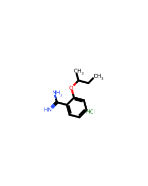 CCC(C)Oc1ccccc1C(=N)N.Cl